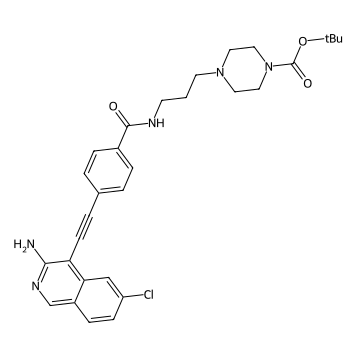 CC(C)(C)OC(=O)N1CCN(CCCNC(=O)c2ccc(C#Cc3c(N)ncc4ccc(Cl)cc34)cc2)CC1